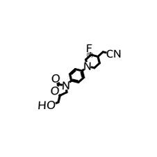 N#CCC1CCN(c2ccc(N3CC(CO)OC3=O)cc2)C[C@@H]1F